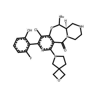 CC(C)(C)C1Oc2c(Cl)c(-c3c(O)cccc3F)nc(N3CCC4(COC4)C3)c2C(=O)N2CCNC[C@H]12